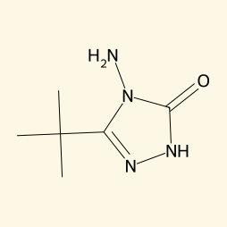 CC(C)(C)c1n[nH]c(=O)n1N